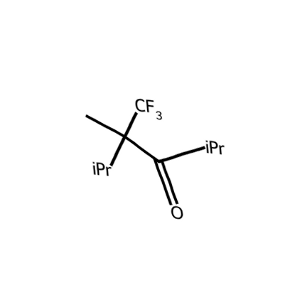 CC(C)C(=O)C(C)(C(C)C)C(F)(F)F